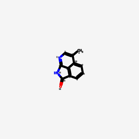 Cc1cnc2c3c(cccc13)C(=O)N2